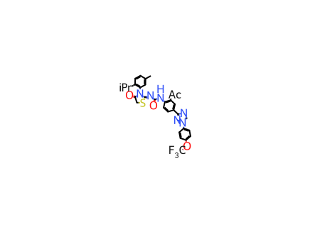 CC(=O)c1cc(-c2ncn(-c3ccc(OC(F)(F)F)cc3)n2)ccc1NC(=O)N=C1SCC(=O)N1c1cc(C)ccc1C(C)C